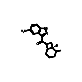 CN1CCCC2[C@H]1CN2C(=O)c1n[nH]c2ccc(N)cc12